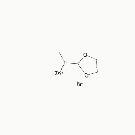 C[CH]([Zn+])C1OCCO1.[Br-]